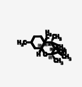 CC1CC[C@@]2(C)[C@@H](C1)O[C@]1(C)C(C)C[C@@]2(C)[C@@]1(C)O